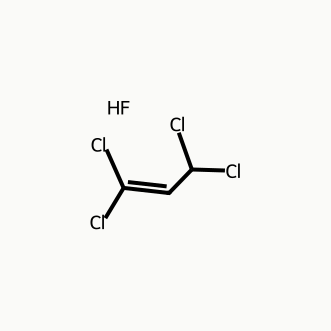 ClC(Cl)=CC(Cl)Cl.F